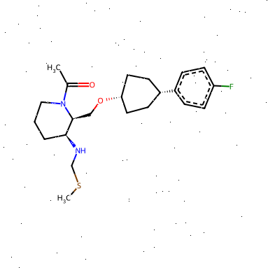 CSCN[C@H]1CCCN(C(C)=O)[C@H]1CO[C@H]1CC[C@@H](c2ccc(F)cc2)CC1